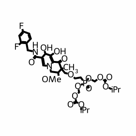 COC1CN2C=C(C(=O)NCc3ccc(F)cc3F)C(O)C(O)=C2C(=O)C1(C)COCCP(=O)(OCOC(=O)OC(C)C)OCOC(=O)OC(C)C